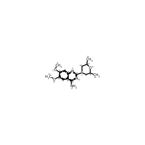 COc1cc2nc(N3CC(C)OC(C)C3)nc(N)c2cc1OC